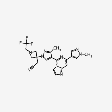 Cc1nn(C2(CC#N)CN(CC(F)(F)F)C2)cc1-c1nc(-c2cnn(C)c2)cc2nccn12